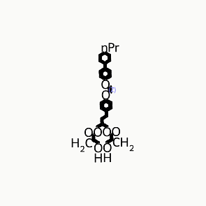 C=C(CO)C(=O)OCC(CCc1ccc(O/C=C\Oc2ccc(C3CCC(CCC)CC3)cc2)cc1)COC(=O)C(=C)CO